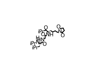 CC(C)C[C@H](NC(C)C)C(=O)NCC(=O)N[C@@H](CCCCN1C(=O)CCC1=O)C(=O)C(C)C